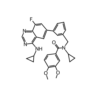 COc1ccc(C(=O)N(Cc2cccc(-c3cc(F)c4ncnc(NC5CC5)c4c3)c2)C2CC2)cc1OC